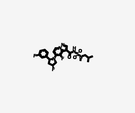 CC(C)CN(C)S(=O)(=O)NC(=O)c1cnn2ccc(N3C[C@@H](F)CC3c3cccc(F)c3)c(F)c12